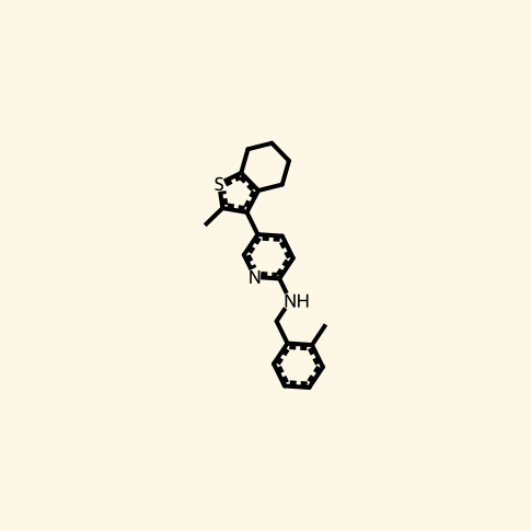 Cc1ccccc1CNc1ccc(-c2c(C)sc3c2CCCC3)cn1